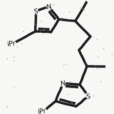 CC(C)c1csc(C(C)CCC(C)c2cc(C(C)C)sn2)n1